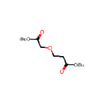 CC(C)COC(=O)CCOCC(=O)OCC(C)C